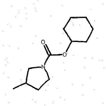 CC1CCN(C(=O)OC2CCCCC2)C1